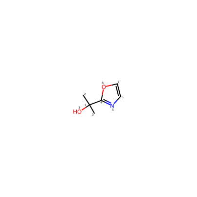 CC(C)(O)c1ncco1